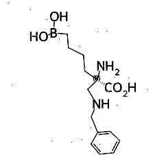 N[C@](CCCCB(O)O)(CNCc1ccccc1)C(=O)O